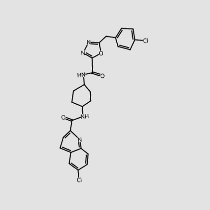 O=C(NC1CCC(NC(=O)c2nnc(Cc3ccc(Cl)cc3)o2)CC1)c1ccc2cc(Cl)ccc2n1